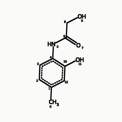 Cc1ccc(NC(=O)CO)c(O)c1